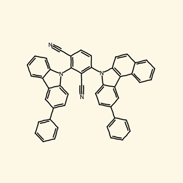 N#Cc1ccc(-n2c3ccc(-c4ccccc4)cc3c3c4ccccc4ccc32)c(C#N)c1-n1c2ccccc2c2cc(-c3ccccc3)ccc21